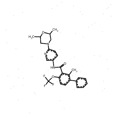 Cc1c(-c2ccccc2)ccc(OC(F)(F)F)c1C(=O)Nc1ccc(N2CC(C)OC(C)C2)nc1